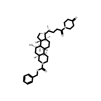 C[C@H](CCC(=O)N1CCC(=O)CC1)[C@H]1CC[C@H]2[C@@H]3[C@@H](O)C[C@@H]4CN(C(=O)OCc5ccccc5)CC[C@]4(C)[C@H]3CC[C@]12C